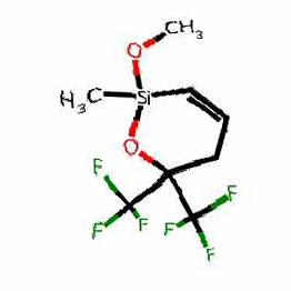 CO[Si]1(C)C=CCC(C(F)(F)F)(C(F)(F)F)O1